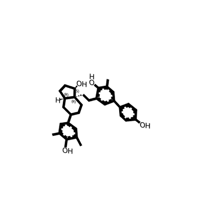 Cc1cc(C2CC[C@@]3(CCc4cc(-c5ccc(O)cc5)cc(C)c4O)[C@H](CC[C@@H]3O)C2)cc(C)c1O